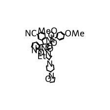 CCOc1ncccc1[C@]1(NC(=O)N2CC(N3CCC(N4CCCO4)CC3)C2)C(=O)N(S(=O)(=O)c2ccc(OC)cc2OC)c2ccc(C#N)cc21